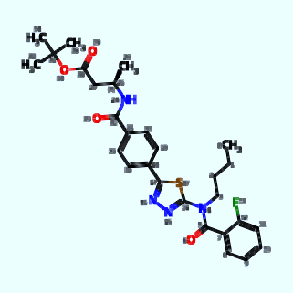 CCCCN(C(=O)c1ccccc1F)c1nnc(-c2ccc(C(=O)N[C@H](C)CC(=O)OC(C)(C)C)cc2)s1